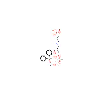 CO[Si](CCCNCCC[Si](OC)(OC)O[Si](C)(C)O[Si](C)(C)O[Si](C)(C)O[Si](C)(c1ccccc1)c1ccccc1)(OC)OC